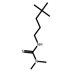 CN(C)C(=S)NCCCC(C)(C)C